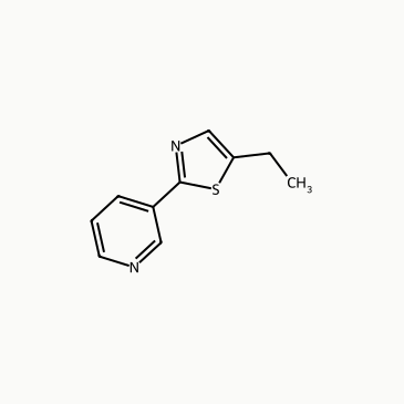 CCc1cnc(-c2cccnc2)s1